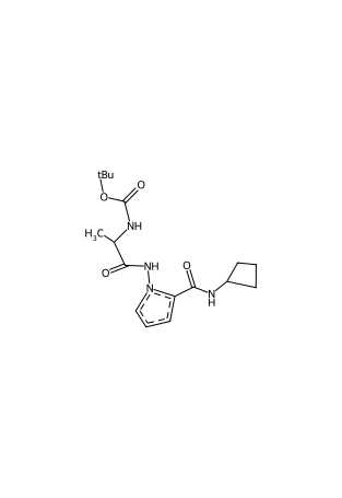 CC(NC(=O)OC(C)(C)C)C(=O)Nn1cccc1C(=O)NC1CCC1